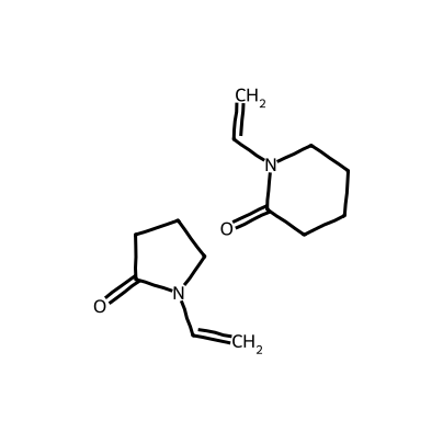 C=CN1CCCC1=O.C=CN1CCCCC1=O